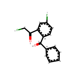 O=C(CF)c1cc(F)ccc1C(=O)c1ccccc1